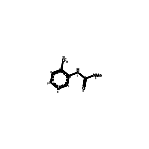 CNC(=O)Nc1cnncc1C(F)(F)F